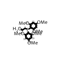 C=CCP(c1c(OC)cc(OC)cc1OC)c1c(OC)cc(OC)cc1OC